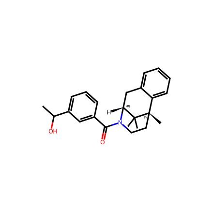 CC(O)c1cccc(C(=O)N2CC[C@@]3(C)c4ccccc4C[C@@H]2C3(C)C)c1